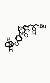 CCC(C)CC(O)Cc1cc2ncn(-c3ccc(OC4C[C@H]5CC[C@@H](C4)N5C)cc3)c(=O)c2s1